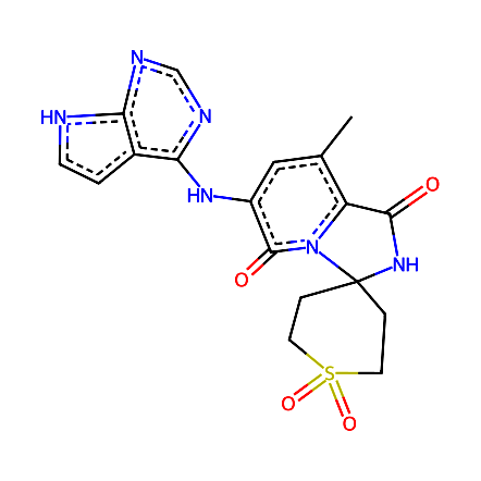 Cc1cc(Nc2ncnc3[nH]ccc23)c(=O)n2c1C(=O)NC21CCS(=O)(=O)CC1